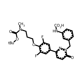 CN(CCCOc1c(F)cc(-c2ccc(=O)n(Cc3cccc(NC(=O)O)c3)n2)cc1F)C(=O)OC(C)(C)C